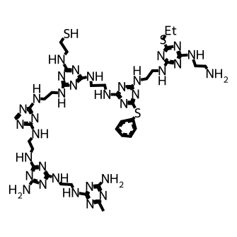 CCSc1nc(NCCN)nc(NCCNc2nc(NCCNc3nc(NCCS)nc(NCCNc4ncnc(NCCNc5nc(N)nc(NCCNc6nc(C)nc(N)n6)n5)n4)n3)nc(Sc3ccccc3)n2)n1